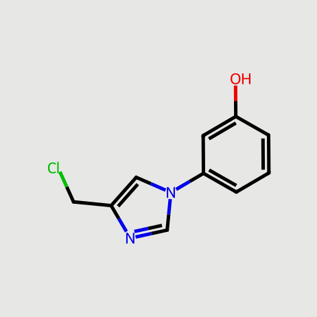 Oc1cccc(-n2cnc(CCl)c2)c1